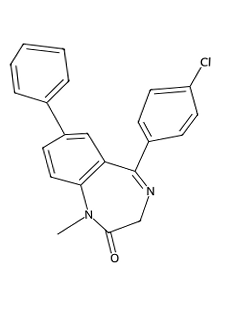 CN1C(=O)CN=C(c2ccc(Cl)cc2)c2cc(-c3ccccc3)ccc21